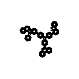 c1ccc(-n2c3cc(-c4ccc(N(c5ccc(-c6cc7ccccc7c7ccccc67)cc5)c5ccc(-c6cccc7c6sc6ccccc67)cc5)cc4)ccc3c3ccc4ccccc4c32)cc1